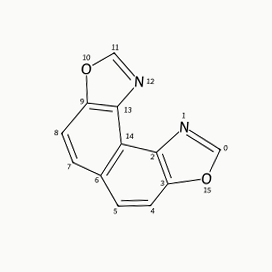 c1nc2c(ccc3ccc4ocnc4c32)o1